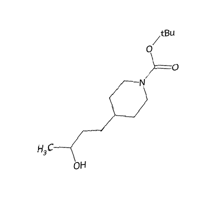 CC(O)CCC1CCN(C(=O)OC(C)(C)C)CC1